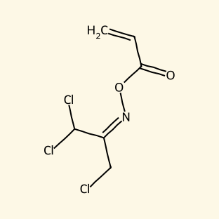 C=CC(=O)ON=C(CCl)C(Cl)Cl